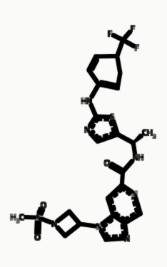 C[C@@H](NC(=O)c1cc2c(cn1)ncn2C1CN(S(C)(=O)=O)C1)c1cnc(NC2=CCC(C(F)(F)F)C=C2)s1